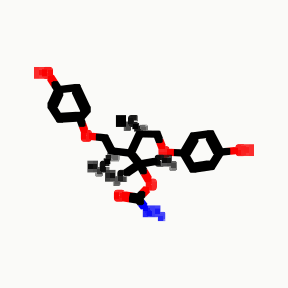 C[C@H](COc1ccc(O)cc1)C([C@H](C)COc1ccc(O)cc1)C(C)(C)OC(N)=O